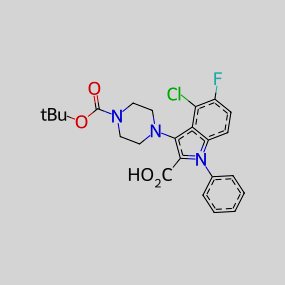 CC(C)(C)OC(=O)N1CCN(c2c(C(=O)O)n(-c3ccccc3)c3ccc(F)c(Cl)c23)CC1